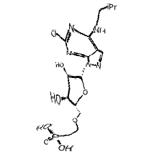 CC(C)CNc1nc(Cl)nc2c1cnn2[C@@H]1O[C@H](COCP(=O)(O)O)[C@@H](O)[C@H]1O